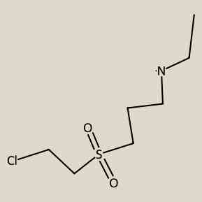 CC[N]CCCS(=O)(=O)CCCl